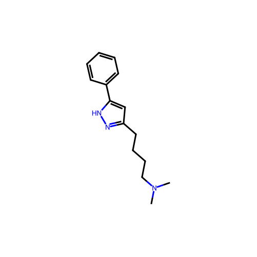 CN(C)CCCCc1cc(-c2ccccc2)[nH]n1